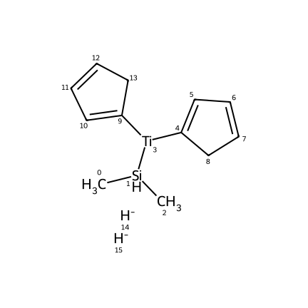 C[SiH](C)[Ti]([C]1=CC=CC1)[C]1=CC=CC1.[H-].[H-]